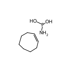 C1=CCCCCCC1.NP(O)O